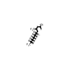 CCC(I)CC(CC(F)(F)C(F)(F)C(F)(F)C(F)(F)C(F)(F)C(F)(F)F)C(F)(F)F